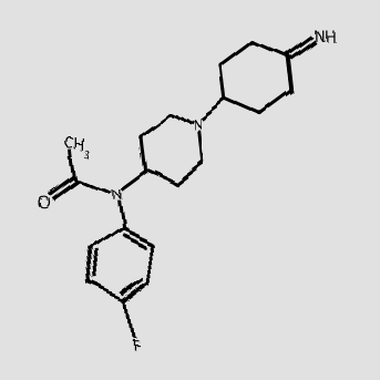 CC(=O)N(c1ccc(F)cc1)C1CCN(C2CCC(=N)CC2)CC1